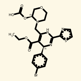 CCOC(=O)C1=C(CN2CCOC[C@@H]2OC(=O)O)NC(c2nccs2)=N[C@H]1c1ccc(Br)cc1